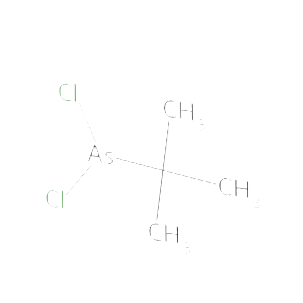 CC(C)(C)[As](Cl)Cl